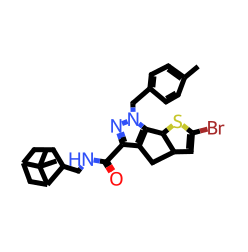 Cc1ccc(Cn2nc(C(=O)NCC3CCC4CC3C4(C)C)c3c2C2SC(Br)=CC2C3)cc1